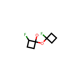 [O]C1(OC2(F)CCC2)CCC1F